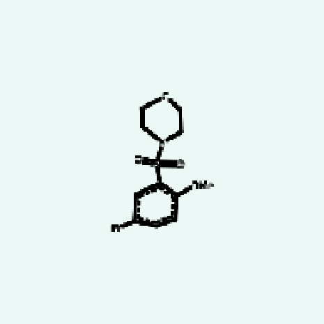 COc1ccc(C(C)C)cc1S(=O)(=O)N1CCOCC1